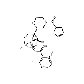 N=C(/C=C1\C(=N)[C@]2([C@H]3CN(C(=O)c4cnco4)CCO3)CCC[C@H]1CC2)c1c(F)cccc1F